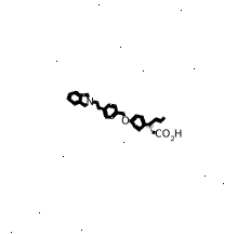 CC=C[C@H](CC(=O)O)c1ccc(OCc2ccc(CCN3Cc4ccccc4C3)cc2)cc1